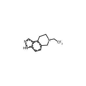 FC(F)(F)CN1CCc2c(ccc3[nH]ncc23)C1